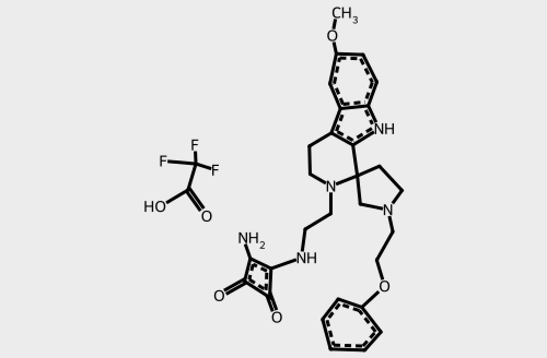 COc1ccc2[nH]c3c(c2c1)CCN(CCNc1c(N)c(=O)c1=O)C31CCN(CCOc2ccccc2)C1.O=C(O)C(F)(F)F